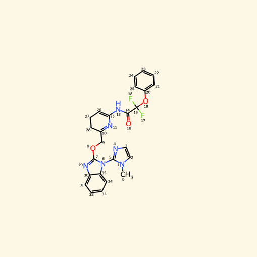 Cn1ccnc1-n1c(OCC2=NC(NC(=O)C(F)(F)Oc3ccccc3)=CCC2)nc2ccccc21